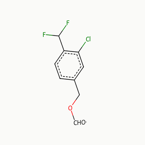 O=[C]OCc1ccc(C(F)F)c(Cl)c1